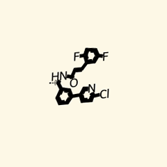 C[C@H](NC(=O)C=Cc1cc(F)ccc1F)c1cccc(-c2ccc(Cl)nc2)c1